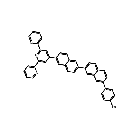 N#Cc1ccc(-c2ccc3ccc(-c4ccc5cc(-c6cc(-c7ccccn7)nc(-c7ccccn7)c6)ccc5c4)cc3c2)cc1